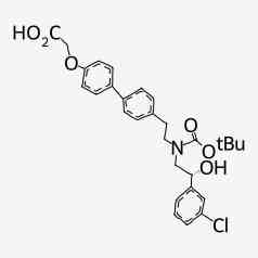 CC(C)(C)OC(=O)N(CCc1ccc(-c2ccc(OCC(=O)O)cc2)cc1)C[C@H](O)c1cccc(Cl)c1